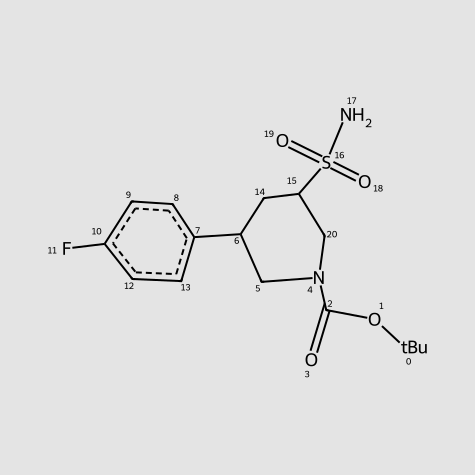 CC(C)(C)OC(=O)N1CC(c2ccc(F)cc2)CC(S(N)(=O)=O)C1